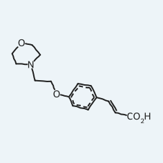 O=C(O)/C=C/c1ccc(OCCN2CCOCC2)cc1